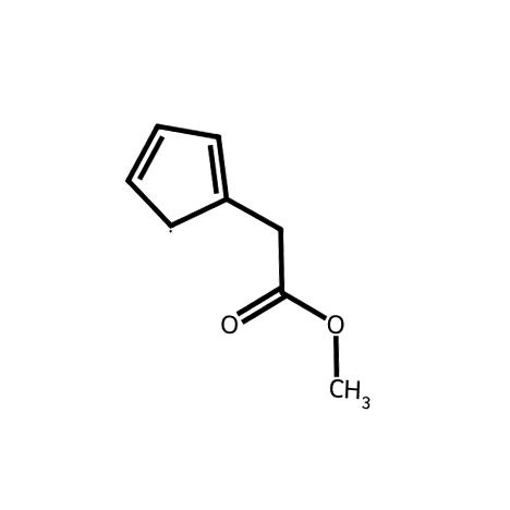 COC(=O)CC1=CC=C[CH]1